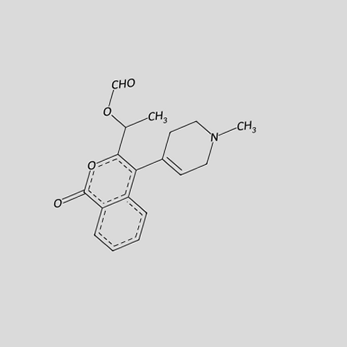 CC(OC=O)c1oc(=O)c2ccccc2c1C1=CCN(C)CC1